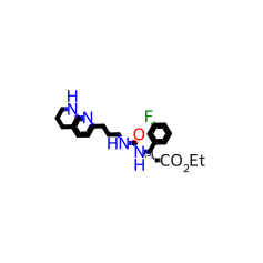 CCOC(=O)C[C@H](NC(=O)NCCCc1ccc2c(n1)NCCC2)c1cccc(F)c1